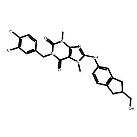 Cn1c(Nc2ccc3c(c2)CC(CO)C3)nc2c1c(=O)n(Cc1ccc(Cl)c(Cl)c1)c(=O)n2C